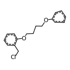 ClCc1ccccc1OCCCCOc1ccccc1